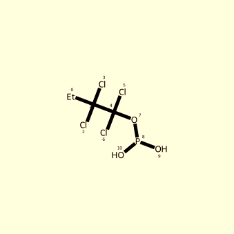 CCC(Cl)(Cl)C(Cl)(Cl)OP(O)O